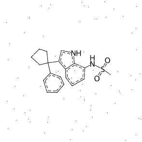 CS(=O)(=O)Nc1cccc2c(C3(c4ccccc4)CCCC3)c[nH]c12